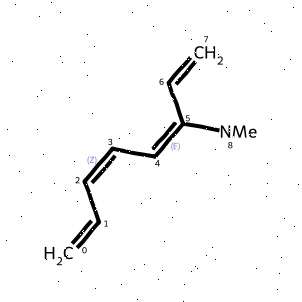 C=C/C=C\C=C(/C=C)NC